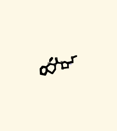 C=C[C@H]1c2ccccc2CCN1C(=O)[C@H]1C/C(=C\OC)CO1